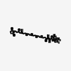 CC(C)(C)OC(=O)NNC(=O)CCOCCOCCOCCOCCNCC(=O)CCN1C(=O)CCC1=O